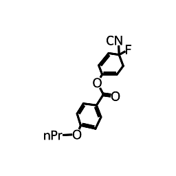 CCCOc1ccc(C(=O)OC2=CCC(F)(C#N)C=C2)cc1